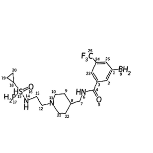 Bc1cc(C(=O)NCC2CCN(CCN[SH](=O)(P)C3CC3)CC2)cc(C(F)(F)F)c1